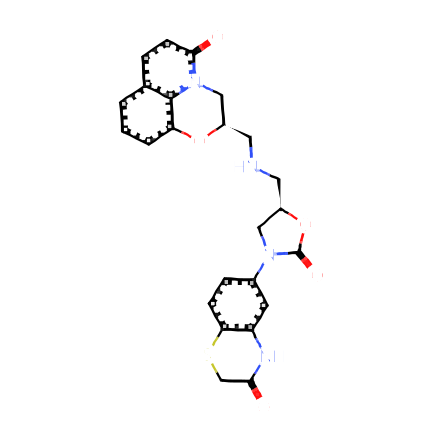 O=C1CSc2ccc(N3C[C@@H](CNC[C@@H]4Cn5c(=O)ccc6cccc(c65)O4)OC3=O)cc2N1